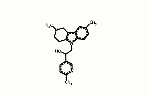 Cc1ccc2c(c1)c1c(n2CC(O)c2ccc(C)nc2)CCN(C)C1